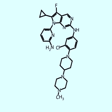 CN1CCN(C2CCN(c3ccc(Nc4ncc5c(F)c(C6CC6)n(-c6cccc(N)n6)c5n4)cc3Cl)CC2)CC1